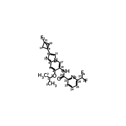 CC(C)Oc1cc2nc(C34CC(F)(C3)C4)cn2cc1NC(=O)c1cccc(C(F)F)n1